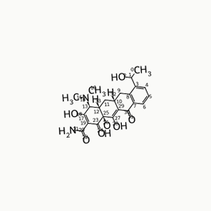 CC(O)c1cccc2c1C[C@H]1C[C@H]3[C@H](N(C)C)C(O)=C(C(N)=O)C(=O)[C@@]3(O)C(O)=C1C2=O